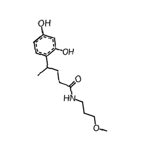 COCCCNC(=O)CCC(C)c1ccc(O)cc1O